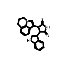 O=C1NC(=S)C(c2cn3c4c(cccc24)CCC3)C1c1c[nH]c2ccccc12